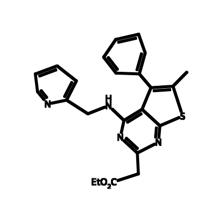 CCOC(=O)Cc1nc(NCc2ccccn2)c2c(-c3ccccc3)c(C)sc2n1